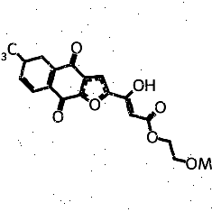 COCCOC(=O)/C=C(\O)c1cc2c(o1)C(=O)C1=C(CC(C)C=C1)C2=O